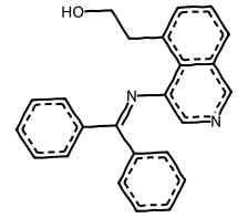 OCCc1cccc2cncc(N=C(c3ccccc3)c3ccccc3)c12